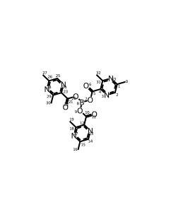 Cc1cnc(C(=O)OB(OC(=O)c2ncc(C)nc2C)OC(=O)c2ncc(C)nc2C)c(C)n1